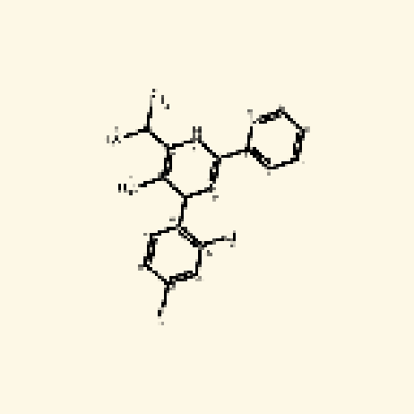 CC1=C(C(C)C)NC(c2ccccn2)=NC1c1ccc(F)cc1Cl